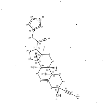 C[C@]12CC[C@H]3[C@@H](CC=C4C[C@@](O)(C#CCl)CC[C@@H]43)[C@@H]1CC[C@@H]2C(=O)Cn1ccnc1